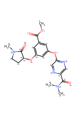 COC(=O)c1cc(Oc2cnc(C(=O)N(C)C)cn2)cc(O[C@H]2CCN(C)C2=O)c1